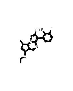 CCOC1=CC(C)c2c1cnc1c(-c3cccc(F)c3F)c(O)nn21